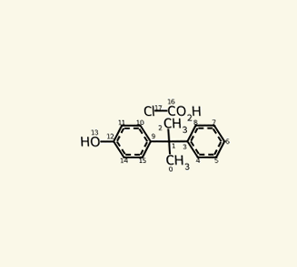 CC(C)(c1ccccc1)c1ccc(O)cc1.O=C(O)Cl